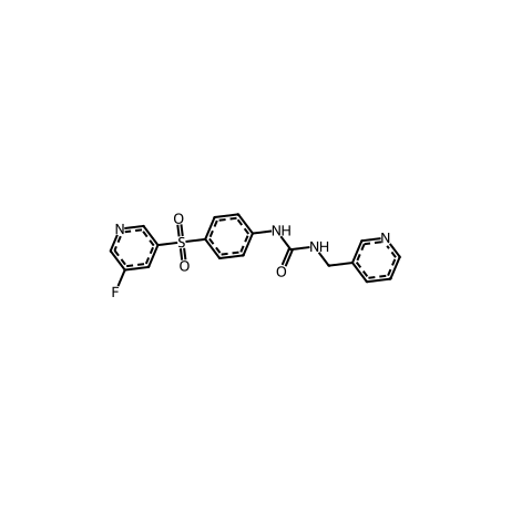 O=C(NCc1cccnc1)Nc1ccc(S(=O)(=O)c2cncc(F)c2)cc1